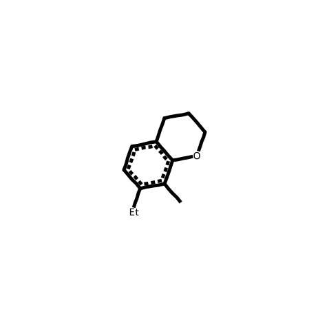 CCc1ccc2c(c1C)OCCC2